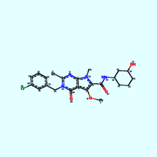 CCc1nc2c(c(OC(C)C)c(C(=O)NC3CCCC(O)C3)n2C)c(=O)n1Cc1cccc(Cl)c1